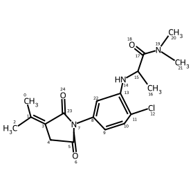 CC(C)=C1CC(=O)N(c2ccc(Cl)c(NC(C)C(=O)N(C)C)c2)C1=O